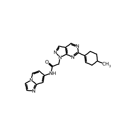 CC1CC=C(c2ncc3cnn(CC(=O)Nc4ccn5ccnc5c4)c3n2)CC1